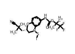 CC(C)(C#N)C[C@H]1CN(SI)c2cc(NC(=O)OC(C)(C)C(F)(F)F)ccc2O1